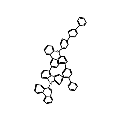 c1ccc(-c2ccc(-c3ccc(N(c4ccc(-c5ccc(-c6ccccc6)cc5)cc4)c4ccccc4-c4cccc(-c5cccc6c5c5ccccc5n6-c5cc6ccccc6c6ccccc56)c4)cc3)cc2)cc1